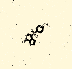 Cc1ccc(S(=O)(=O)C2=C3C=CN=C3C(=O)N=C2)cc1